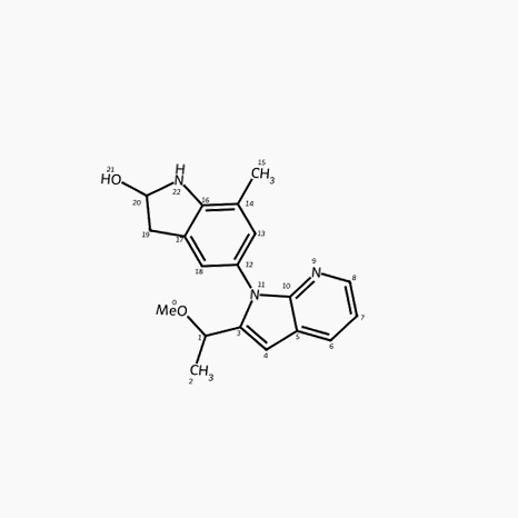 COC(C)c1cc2cccnc2n1-c1cc(C)c2c(c1)CC(O)N2